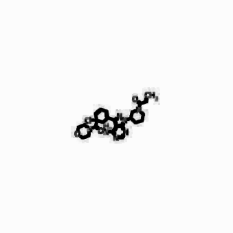 C=CC(=O)N1CCCC(n2nc(C3=CC=CC(Cl)(C(=O)N4CCOCC4)C3)c3c(N)ncnc32)C1